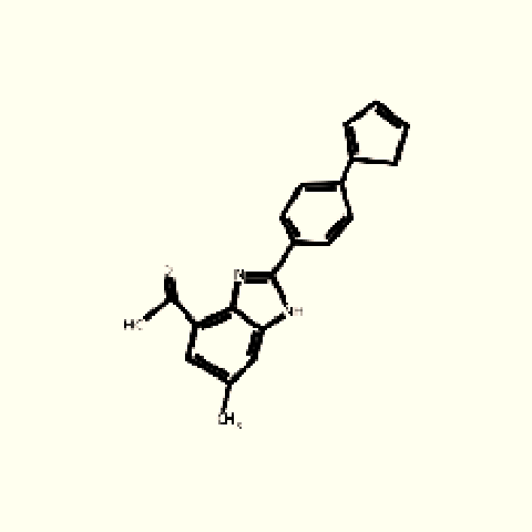 Cc1cc(C(=O)O)c2nc(-c3ccc(C4=CC=CC4)cc3)[nH]c2c1